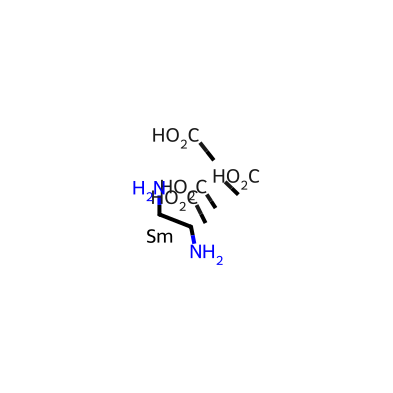 CC(=O)O.CC(=O)O.CC(=O)O.CC(=O)O.NCCN.[Sm]